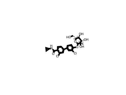 C[C@@]1(O)C(Oc2ccc(-c3ccc(C(=O)NC4CC4)c(Cl)c3)cc2Cl)O[C@H](CO)[C@@H](O)[C@@H]1O